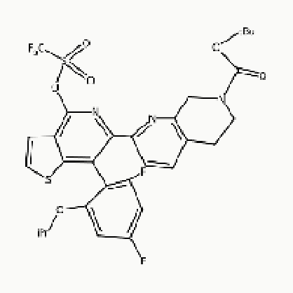 CC(C)Oc1cc(F)cc(F)c1-c1c(-c2ccc3c(n2)CN(C(=O)OC(C)(C)C)CC3)nc(OS(=O)(=O)C(F)(F)F)c2ccsc12